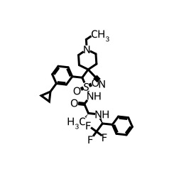 CCN1CCC(C#N)(C(c2cccc(C3CC3)c2)S(=O)(=O)NC(=O)[C@@H](C)N[C@@H](c2ccccc2)C(F)(F)F)CC1